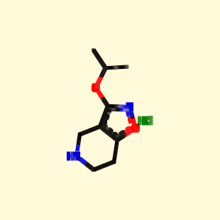 CC(C)Oc1noc2c1CNCC2.Cl